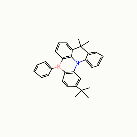 CC(C)(C)c1ccc2c(c1)N1c3ccccc3C(C)(C)c3cccc(c31)B2c1ccccc1